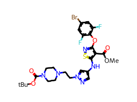 COC(=O)c1c(Oc2c(F)cc(Br)cc2F)nsc1Nc1cnn(CCN2CCN(C(=O)OC(C)(C)C)CC2)c1